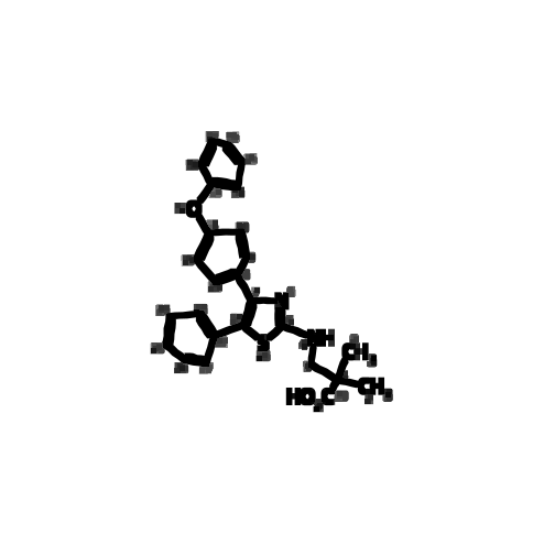 CC(C)(CNc1nc(-c2ccc(Oc3ccccc3)cc2)c(-c2ccccc2)s1)C(=O)O